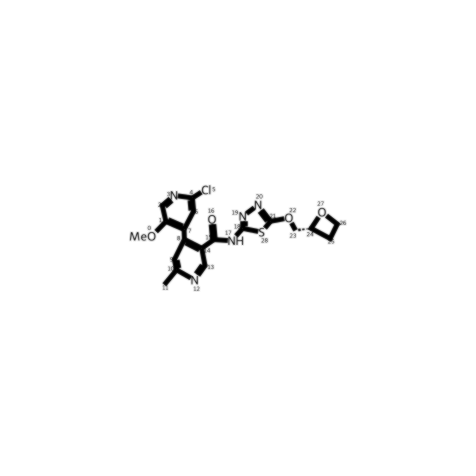 COc1cnc(Cl)cc1-c1cc(C)ncc1C(=O)Nc1nnc(OC[C@H]2CCO2)s1